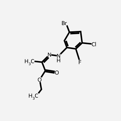 CCOC(=O)C(C)=NNc1cc(Br)cc(Cl)c1F